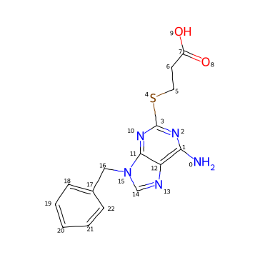 Nc1nc(SCCC(=O)O)nc2c1ncn2Cc1ccccc1